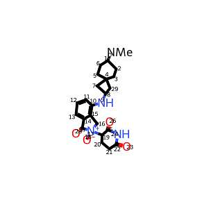 CNC1CCC2(CC1)CC(Nc1cccc3c1C[N+]([O-])(C1CCC(=O)NC1=O)C3=O)C2